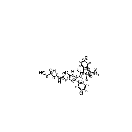 CC(C(C)[C@@H]1NC(=O)[C@@H](CC(=O)NCCC(O)CO)C[C@@H]1c1cccc(Cl)c1)C(c1ccc(Cl)cc1)N(C)S(=O)(=O)C1CC1